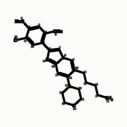 COc1cc(OC)c(-c2cn3cc(CCCCN)c(N4CCOCC4)cc3n2)cc1Cl